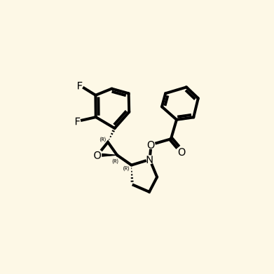 O=C(ON1CCC[C@@H]1[C@H]1O[C@@H]1c1cccc(F)c1F)c1ccccc1